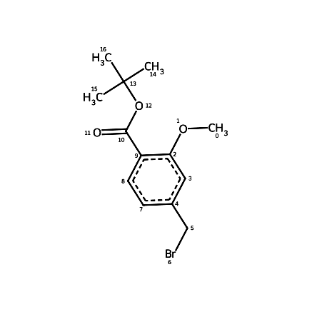 COc1cc(CBr)ccc1C(=O)OC(C)(C)C